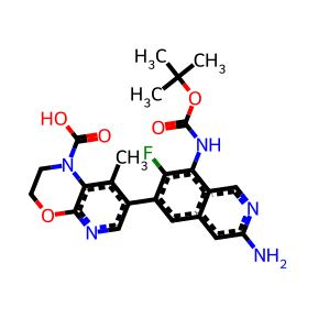 Cc1c(-c2cc3cc(N)ncc3c(NC(=O)OC(C)(C)C)c2F)cnc2c1N(C(=O)O)CCO2